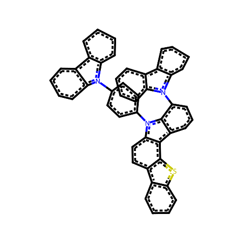 c1ccc2c(c1)sc1c2ccc2c1c1cccc(-n3c4ccccc4c4ccccc43)c1n2-c1ccc(-n2c3ccccc3c3ccccc32)cc1